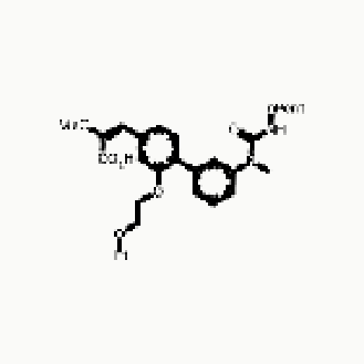 CCCCCNC(=O)N(C)c1cccc(-c2ccc(/C=C(/OC)C(=O)O)cc2OCCOCC)c1